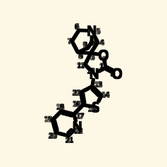 O=C1OC2(CN3CCC2CC3)CN1c1csc(-c2ccccn2)c1